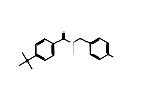 CC(C)(C)c1ccc(C(=O)NCc2ccc(O)cc2)cc1